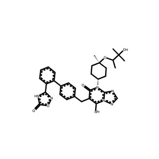 CCCc1c(Cc2ccc(-c3ccccc3-c3noc(=O)[nH]3)cc2)c(=O)n([C@H]2CC[C@](C)(OC(C)C(C)(C)O)CC2)c2ncnn12